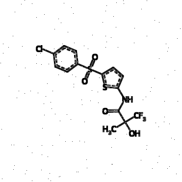 CC(O)(C(=O)Nc1ccc(S(=O)(=O)c2ccc(Cl)cc2)s1)C(F)(F)F